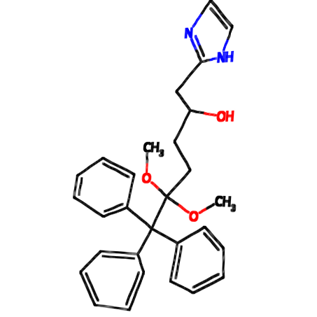 COC(CCC(O)Cc1ncc[nH]1)(OC)C(c1ccccc1)(c1ccccc1)c1ccccc1